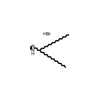 Br.CCCCCCCCCCCCCCCCC(CCCCCCCCCCCCCCC)CCc1ncc[nH]1